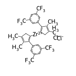 CC1=C(C)C(c2cc(C(F)(F)F)cc(C(F)(F)F)c2)=[C]([Zr+2][C]2=C(c3cc(C(F)(F)F)cc(C(F)(F)F)c3)C(C)=C(C)C2)C1.[Cl-].[Cl-]